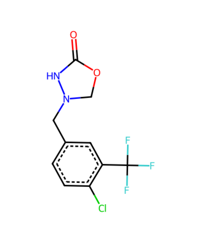 O=C1NN(Cc2ccc(Cl)c(C(F)(F)F)c2)CO1